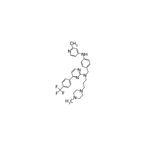 Cc1cc(Nc2ccc(CN(CCCN3CCN(C)CC3)c3nccc(-c4ccc(C(F)(F)F)cc4)n3)cc2)ccn1